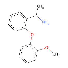 COc1ccccc1Oc1ccccc1C(C)N